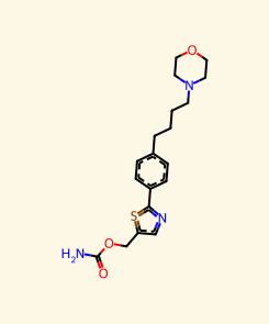 NC(=O)OCc1cnc(-c2ccc(CCCCN3CCOCC3)cc2)s1